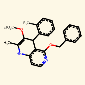 CCOC(=O)OC1=C(C)Nc2ccnc(OCc3ccccc3)c2C1c1ccccc1C(F)(F)F